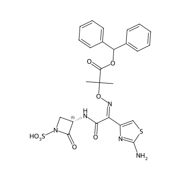 CC(C)(ON=C(C(=O)N[C@H]1CN(S(=O)(=O)O)C1=O)c1csc(N)n1)C(=O)OC(c1ccccc1)c1ccccc1